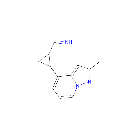 Cc1cc2c(C3CC3C=N)cccn2n1